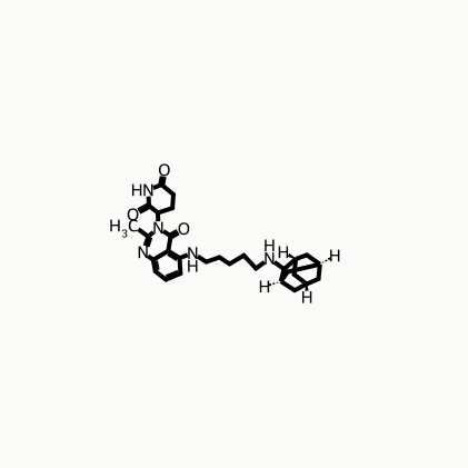 Cc1nc2cccc(NCCCCCNC3[C@H]4C[C@@H]5C[C@@H](C[C@H]3C5)C4)c2c(=O)n1C1CCC(=O)NC1=O